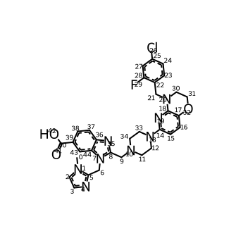 Cn1ccnc1Cn1c(CN2CCN(c3ccc4c(n3)N(Cc3ccc(Cl)cc3F)CCO4)CC2)nc2ccc(C(=O)O)cc21